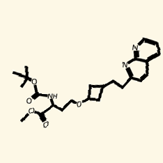 COC(=O)C(CCOC1CC(CCc2ccc3cccnc3n2)C1)NC(=O)OC(C)(C)C